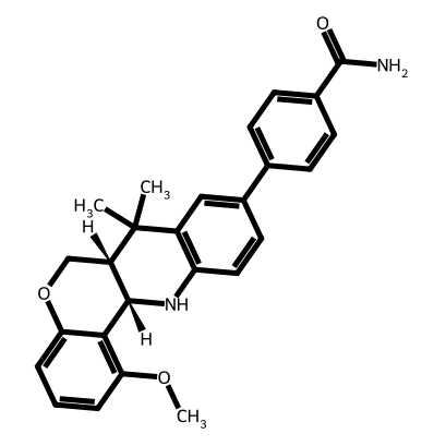 COc1cccc2c1[C@H]1Nc3ccc(-c4ccc(C(N)=O)cc4)cc3C(C)(C)[C@H]1CO2